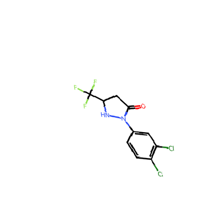 O=C1CC(C(F)(F)F)NN1c1ccc(Cl)c(Cl)c1